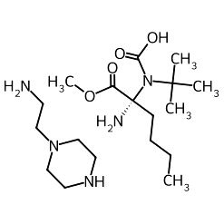 CCCC[C@@](N)(C(=O)OC)N(C(=O)O)C(C)(C)C.NCCN1CCNCC1